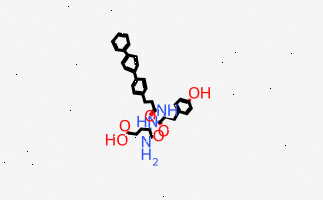 NC(=O)C(CCC(=O)O)NC(=O)[C@H](Cc1ccc(O)cc1)NC(=O)CCc1ccc(-c2ccc(-c3ccccc3)cc2)cc1